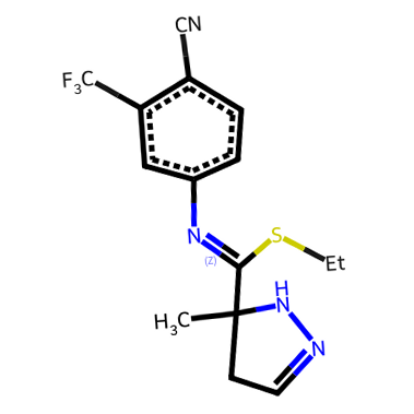 CCS/C(=N\c1ccc(C#N)c(C(F)(F)F)c1)C1(C)CC=NN1